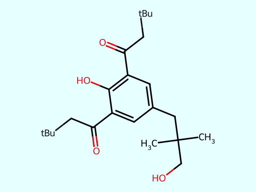 CC(C)(C)CC(=O)c1cc(CC(C)(C)CO)cc(C(=O)CC(C)(C)C)c1O